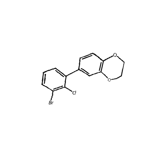 Clc1c(Br)cccc1-c1ccc2c(c1)OCCO2